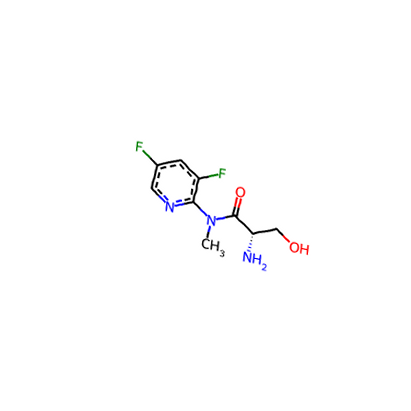 CN(C(=O)[C@@H](N)CO)c1ncc(F)cc1F